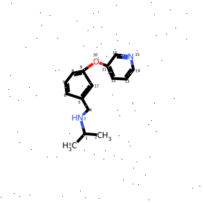 CC(C)NCc1cccc(Oc2cccnc2)c1